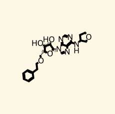 O[C@@H]1[C@H](O)[C@@H](COCCc2ccccc2)O[C@H]1n1cnc2c(NC3CCOC3)ncnc21